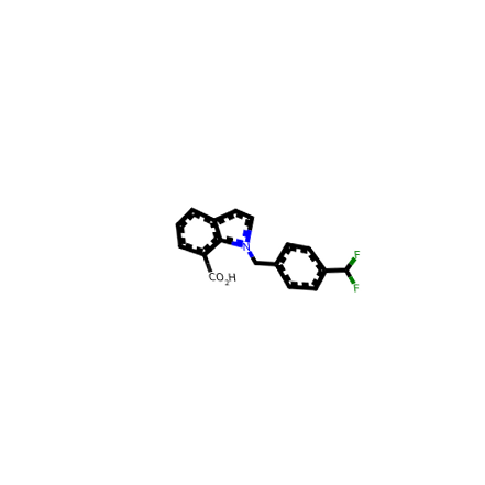 O=C(O)c1cccc2ccn(Cc3ccc(C(F)F)cc3)c12